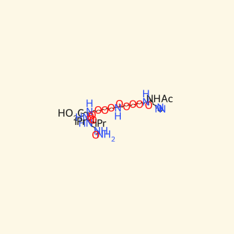 CC(=O)NC(CCCCn1ccnn1)C(=O)NCCOCCOCCOCCC(=O)NCCOCCOCCOCCC(=O)NC(CCC(=O)O)C(=O)NC(C(=O)NC(CCCNC(N)=O)C(=O)C(C)C)C(C)C